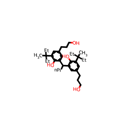 CCCC(c1cc(CCCO)cc(C(C)(CC)CC)c1O)c1cc(CCCO)cc(C(C)(CC)CC)c1O